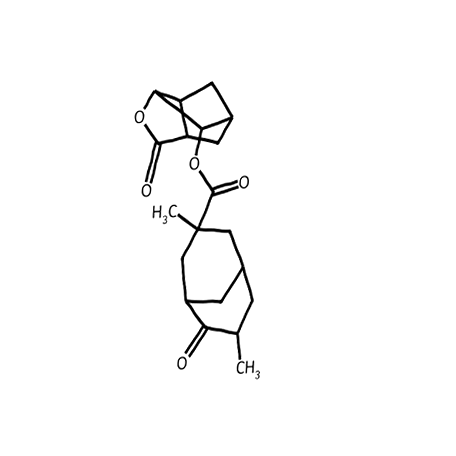 CC1CC2CC(CC(C)(C(=O)OC3C4CC5C(=O)OC3C5C4)C2)C1=O